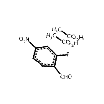 CC(=O)O.CC(=O)O.O=Cc1ccc([N+](=O)[O-])cc1F